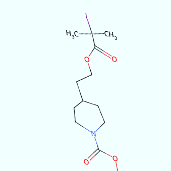 CC(C)(C)OC(=O)N1CCC(CCOC(=O)C(C)(C)I)CC1